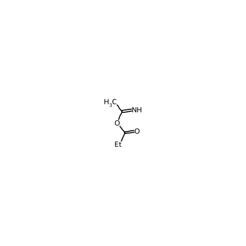 CCC(=O)OC(C)=N